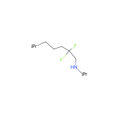 CC(C)CCCC(F)(F)CNC(C)C